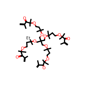 C=C(C)C(=O)C(C)(C)OCCC(C)(C)OCC(COC(C)(C)CCOC(C)(C)C(=O)C(=C)C)(COC(C)(C)CCOC(C)(C)C(=O)C(=C)C)COC(C)(CC)CCOC(C)(C)C(=O)C(=C)C